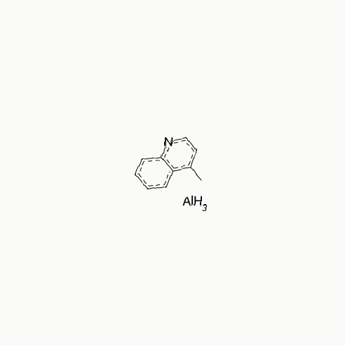 Cc1ccnc2ccccc12.[AlH3]